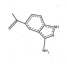 C=C(C)c1ccc2[nH]nc(N)c2c1